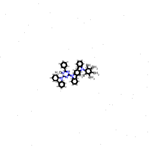 Bc1c(B)c(B)c(-n2c3ccccc3c3cc4c(cc32)c2ccccc2n4C(/N=C(\N=C)c2ccccc2)=N/CN2C3=CC=CCC3c3ccccc32)c(B)c1B